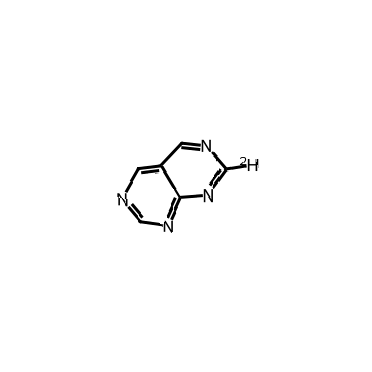 [2H]c1ncc2cncnc2n1